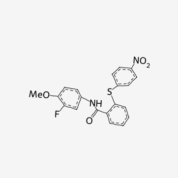 COc1ccc(NC(=O)c2ccccc2Sc2ccc([N+](=O)[O-])cc2)cc1F